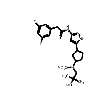 CC(C)(O)CN(C(=O)O)C1CCC(c2cc(NC(=O)Cc3cc(F)cc(F)c3)n[nH]2)C1